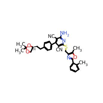 Cc1ccccc1-c1nc(CSc2nc(N)c(C#N)c(-c3ccc(CC[C@H]4COC(C)(C)O4)cc3)c2C#N)c(C)o1